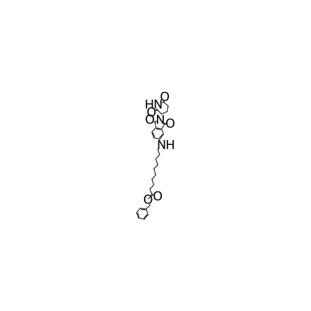 O=C1CCC(N2C(=O)c3ccc(NCCCCCCCCCC(=O)OCc4ccccc4)cc3C2=O)C(=O)N1